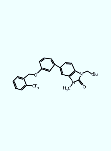 Cn1c(=O)n(CC(C)(C)C)c2ccc(-c3cccc(OCc4ccccc4C(F)(F)F)c3)cc21